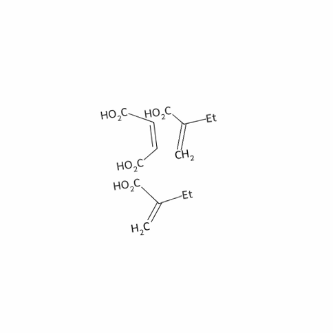 C=C(CC)C(=O)O.C=C(CC)C(=O)O.O=C(O)/C=C\C(=O)O